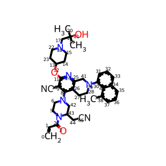 C=CC(=O)N1CCN(c2c(C#N)c(OC3CCN(CC(C)(C)O)CC3)nc3c2CCN(c2cccc4cccc(C)c24)C3)CC1CC#N